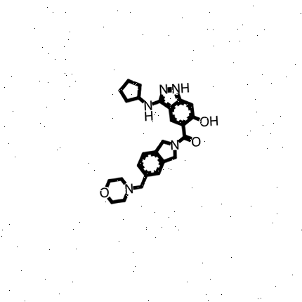 O=C(c1cc2c(NC3CCCC3)n[nH]c2cc1O)N1Cc2ccc(CN3CCOCC3)cc2C1